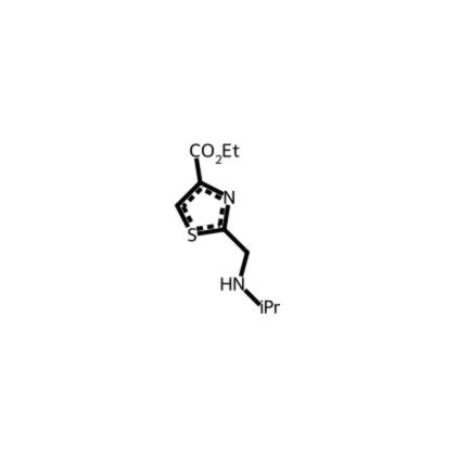 CCOC(=O)c1csc(CNC(C)C)n1